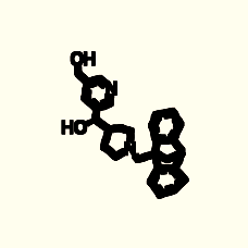 OCc1cncc([C@H](O)C2CCN(CC34CC(c5ccccc53)c3ccccc34)CC2)c1